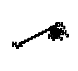 CCCCCCCCCCCCCCCCCCN(CCC)C(=O)N[Si](OC)(OC)OC